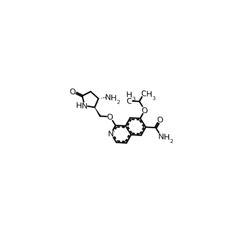 CC(C)Oc1cc2c(OC[C@H]3NC(=O)C[C@@H]3N)nccc2cc1C(N)=O